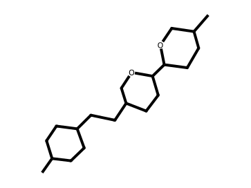 CC1CCC(CCC2CCC(C3CCC(C)CO3)OC2)CC1